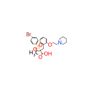 CC(Cc1ccccc1OCCN1CCCCC1)(C(=O)O)S(=O)(=O)c1ccc(Br)cc1